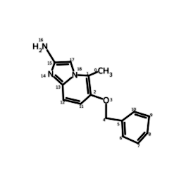 Cc1c(OCc2ccccc2)ccc2nc(N)cn12